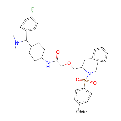 COc1ccc(S(=O)(=O)N2Cc3ccccc3CC2COCC(=O)NC2CCC(C(c3ccc(F)cc3)N(C)C)CC2)cc1